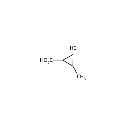 CC1CC1C(=O)O.Cl